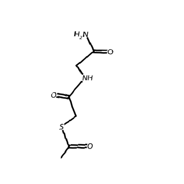 CC(=O)SCC(=O)NCC(N)=O